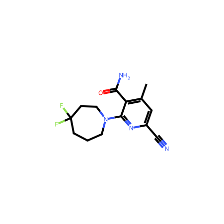 Cc1cc(C#N)nc(N2CCCC(F)(F)CC2)c1C(N)=O